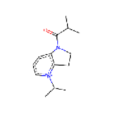 CC(C)C(=O)N1CCc2c1ccc[n+]2C(C)C